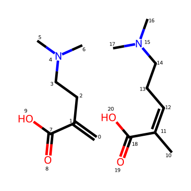 C=C(CCN(C)C)C(=O)O.CC(=CCCN(C)C)C(=O)O